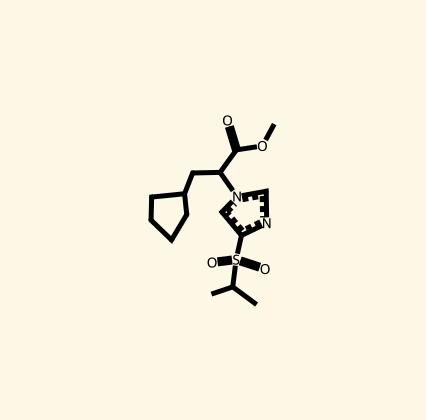 COC(=O)C(CC1CCCC1)n1cnc(S(=O)(=O)C(C)C)c1